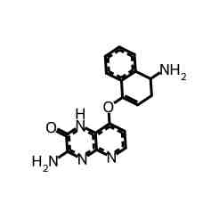 Nc1nc2nccc(OC3=CCC(N)c4ccccc43)c2[nH]c1=O